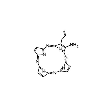 C=CCC1=C(N)C2=NC1=NC1=NC(=NC3=NC(=NC4=NC(=N2)C=C4)C=C3)C=C1